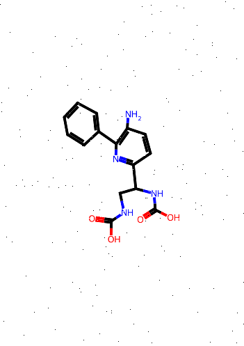 Nc1ccc(C(CNC(=O)O)NC(=O)O)nc1-c1ccccc1